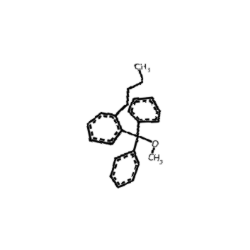 CCCCc1ccccc1C(OC)(c1ccccc1)c1ccccc1